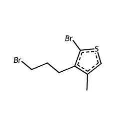 Cc1csc(Br)c1CCCBr